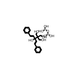 OCC(CO)(CO)C(O)(C=Cc1ccccc1)C=Cc1ccccc1.OP(O)OP(O)O